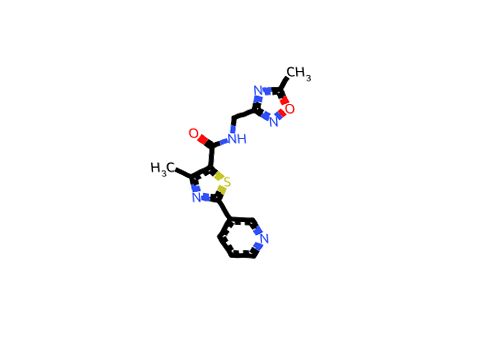 Cc1nc(CNC(=O)c2sc(-c3cccnc3)nc2C)no1